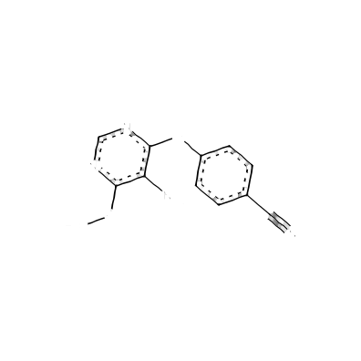 COc1ncnc(Oc2ccc(C#N)cc2)c1N